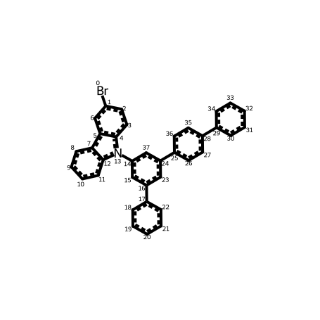 Brc1ccc2c(c1)c1ccccc1n2-c1cc(-c2ccccc2)cc(-c2ccc(-c3ccccc3)cc2)c1